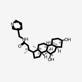 C[C@H](CC(=O)NCc1cccnc1)C1CC[C@H]2[C@@H]3[C@H](O)C[C@@H]4C[C@H](O)CC[C@]4(C)[C@H]3CC[C@]12C